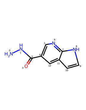 NNC(=O)c1cnc2[nH]ccc2c1